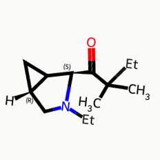 CCN1C[C@@H]2CC2[C@H]1C(=O)C(C)(C)CC